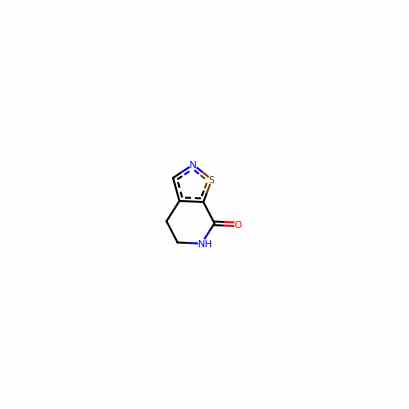 O=C1NCCc2cnsc21